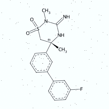 CN1C(=N)N[C@](C)(c2cccc(-c3cccc(F)c3)c2)CS1(=O)=O